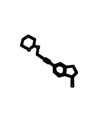 O=C1CCc2cc(C#CCOC3CCCCO3)ccc21